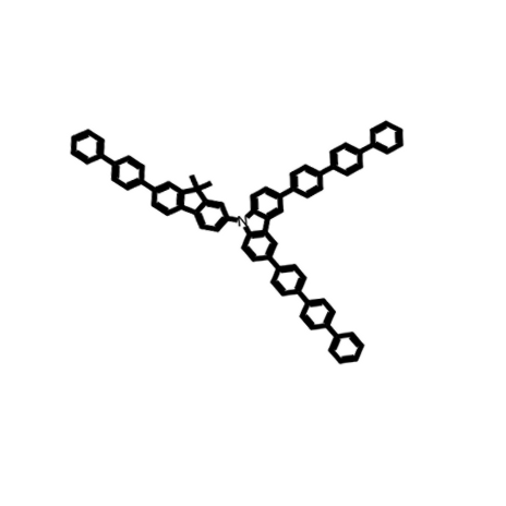 CC1(C)c2cc(-c3ccc(-c4ccccc4)cc3)ccc2-c2ccc(-n3c4ccc(-c5ccc(-c6ccc(-c7ccccc7)cc6)cc5)cc4c4cc(-c5ccc(-c6ccc(-c7ccccc7)cc6)cc5)ccc43)cc21